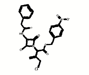 C=C(CCl)C(C(=O)OCc1ccc([N+](=O)[O-])cc1)N1C(=O)C(NC(=O)Cc2ccccc2)C1Cl